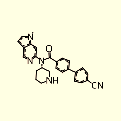 Cn1ccc2cnc(N(C(=O)c3ccc(-c4ccc(C#N)cc4)cc3)[C@@H]3CCCNC3)cc21